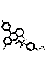 CN=S(=O)(NC1CCCC(N(c2ccc(F)cc2)c2ccc(F)cc2)C1O)c1ccc(OC(F)(F)F)cc1